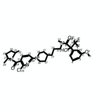 COc1cccc(C(O)(C(=O)N(C)CCCC2CCN(c3ccc(C(=O)N4C(C)CCC4C)c(Cl)n3)CC2)C(F)(F)F)c1